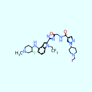 CN1CC[C@@H](Nc2cccc3c2cc(-c2noc(CNC(=O)c4cnn(C5CCN(CI)CC5)c4)n2)n3CC(F)(F)F)[C@@H](F)C1